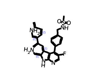 C=C/C=C\C(=C/N)C(=C)/C=c1\c(=C/N)[nH]c2ncc(F)c(-c3ccc(CNS(C)(=O)=O)cc3)c12